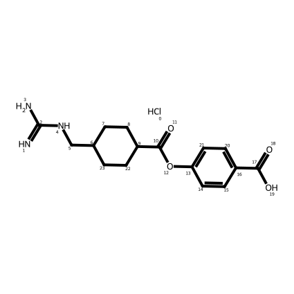 Cl.N=C(N)NCC1CCC(C(=O)Oc2ccc(C(=O)O)cc2)CC1